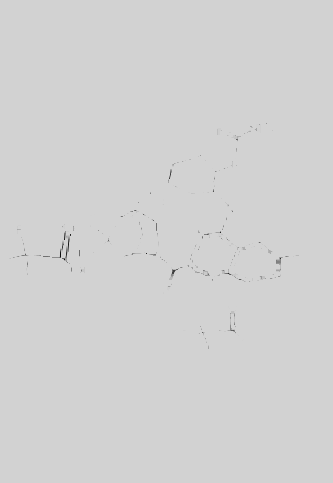 Cc1ccc2nc(C(=O)N3C[C@]4(C)CC3CC(C)(C)C4)nc(NC3CCCCC3NC(=N)N)c2c1.O=C(O)C(F)(F)F.O=C(O)C(F)(F)F